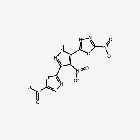 O=[N+]([O-])c1nnc(-c2n[nH]c(-c3nnc([N+](=O)[O-])o3)c2[N+](=O)[O-])o1